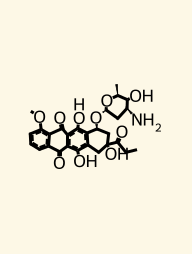 CCC(=O)[C@]1(O)Cc2c(O)c3c(c(O)c2[C@@H](O[C@H]2C[C@H](N)C(O)[C@H](C)O2)C1)C(=O)c1c(OC)cccc1C3=O